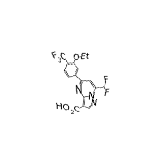 CCOc1cc(-c2cc(C(F)F)n3ncc(C(=O)O)c3n2)ccc1C(F)(F)F